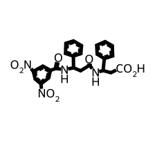 O=C(O)CC(NC(=O)CC(NC(=O)c1cc([N+](=O)[O-])cc([N+](=O)[O-])c1)c1ccccc1)c1ccccc1